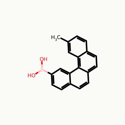 Cc1ccc2ccc3ccc4ccc(B(O)O)cc4c3c2c1